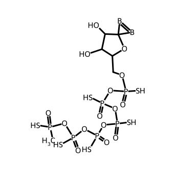 CP(=O)(S)OP(=O)(S)OP(=O)(S)OP(=O)(S)OP(=O)(S)OP(=O)(S)OCC1OC2(B=B2)C(O)C1O